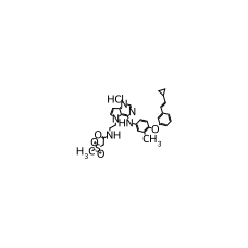 Cc1cc(Nc2ncnc3ccn(CCNC(=O)CS(C)(=O)=O)c23)ccc1Oc1cccc(/C=C/C2CC2)c1.Cl